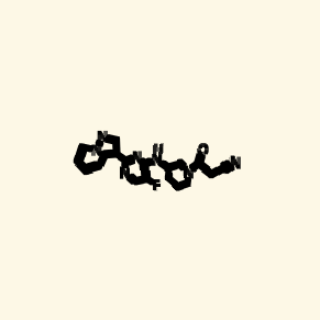 N#CCC(=O)N1CCCC(Nc2nc(-c3cnn4ccccc34)ncc2F)C1